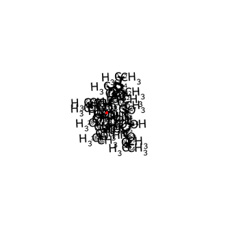 CC(C)c1cc(C(C)C)c(S(=O)(=O)OCC2OC(OC3C(NC(=O)OC(C)(C)C)CC(NC(=O)OC(C)(C)C)C(OC4OC(CNC(=O)OC(C)(C)C)C(O)CC4NC(=O)OC(C)(C)C)C3O)C(O)C(NC(=O)OC(C)(C)C)C2O)c(C(C)C)c1